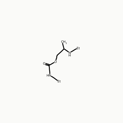 CCNC(=O)OCC(C)NCC